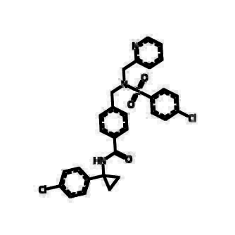 O=C(NC1(c2ccc(Cl)cc2)CC1)c1ccc(CN(Cc2ccccn2)S(=O)(=O)c2ccc(Cl)cc2)cc1